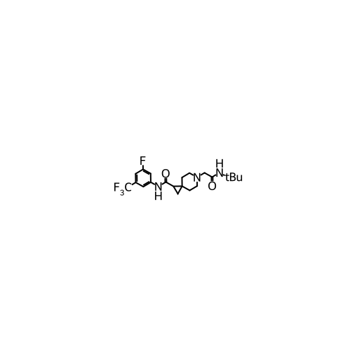 CC(C)(C)NC(=O)CN1CCC2(CC1)CC2C(=O)Nc1cc(F)cc(C(F)(F)F)c1